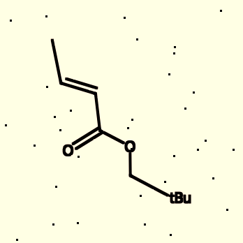 CC=CC(=O)OCC(C)(C)C